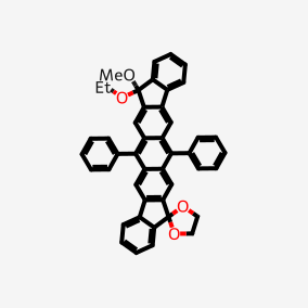 CCOC1(OC)c2ccccc2-c2cc3c(-c4ccccc4)c4cc5c(cc4c(-c4ccccc4)c3cc21)-c1ccccc1C51OCCO1